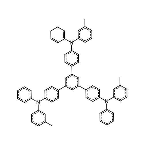 Cc1cccc(N(C2=CCCC=C2)c2ccc(-c3cc(-c4ccc(N(c5ccccc5)c5cccc(C)c5)cc4)cc(-c4ccc(N(c5ccccc5)c5cccc(C)c5)cc4)c3)cc2)c1